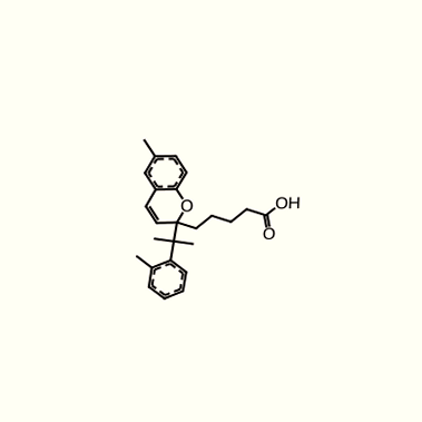 Cc1ccc2c(c1)C=CC(CCCCC(=O)O)(C(C)(C)c1ccccc1C)O2